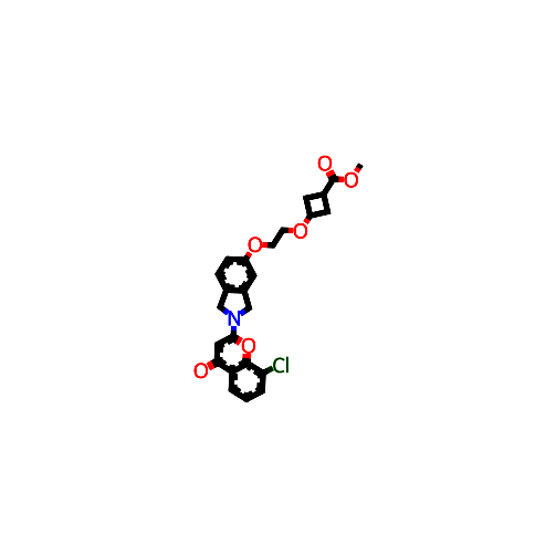 COC(=O)C1CC(OCCOc2ccc3c(c2)CN(c2cc(=O)c4cccc(Cl)c4o2)C3)C1